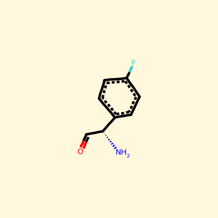 N[C@H](C=O)c1ccc(F)cc1